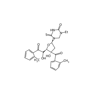 CCN1CN([C@H]2C[C@@](O)(C(=O)c3ccccc3C)[C@@H](C(O)C(=O)c3ccccc3C)O2)C(=S)NC1=O